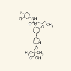 CCC1CN(C(=O)Nc2ccc(F)c(Cl)c2)c2ccc(-c3ccc(OCC(C)(C)C(=O)O)nc3)cc2O1